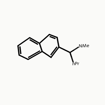 CCCC(NC)c1ccc2ccccc2c1